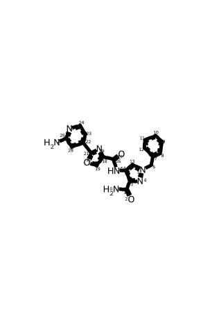 NC(=O)c1nn(Cc2ccccc2)cc1NC(=O)c1coc(-c2ccnc(N)c2)n1